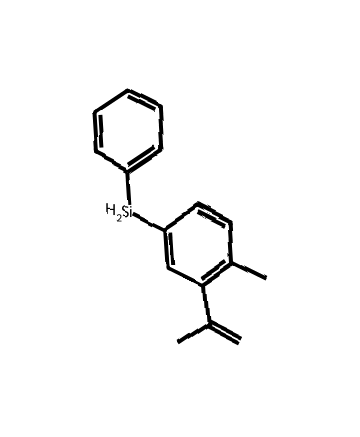 C=C(C)c1cc([SiH2]c2ccccc2)ccc1C